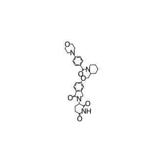 O=C1CCC(N2Cc3cc(OCC4CCCCN4C(=O)c4ccc(N5CCOCC5)cc4)ccc3C2=O)C(=O)N1